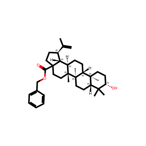 C=C(C)[C@@H]1CCC2(C(=O)OCc3ccccc3)CC[C@]3(C)[C@H](CC[C@@H]4[C@@]5(C)CC[C@H](O)C(C)(C)[C@@H]5CC[C@]43C)[C@@H]12